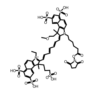 CC[N+]1=C(/C=C/C=C/C=C/C=C2/N(CCCCCC(=O)ON3C(=O)CCC3=O)c3ccc4c(S(=O)(=O)O)cc(S(=O)(=O)O)cc4c3C2(C)CCOC)C(C)(CCCS(=O)(=O)O)c2c1ccc1c(S(=O)(=O)O)cc(S(=O)(=O)O)cc21